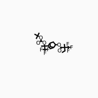 CCC(C)(C(=O)OC1CC2CC1CC2C(C)(OC(=O)OC(C)(C)C)C(F)(F)F)C(F)(F)F